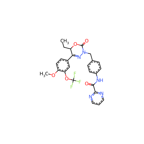 CCC1OC(=O)N(Cc2ccc(NC(=O)c3ncccn3)cc2)N=C1c1ccc(OC)c(OC(F)(F)F)c1